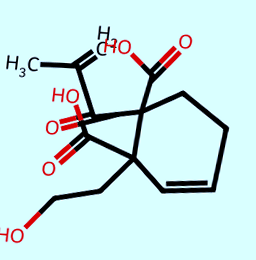 C=C(C)C(=O)C1(C(=O)O)CCC=CC1(CCO)C(=O)O